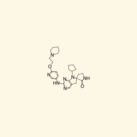 O=C1NCCC12Cc1cnc(Nc3ccc(OCCN4CCCCC4)nc3)nc1N2C1CCCC1